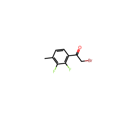 Cc1ccc(C(=O)CBr)c(F)c1F